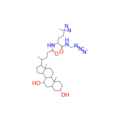 CC(CCC(=O)NC(CCC1(C)N=N1)C(=O)NCN=[N+]=[N-])C1CCC2C3C(O)CC4CC(O)CCC4(C)C3CCC12C